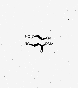 COC(=O)C=CC#N.N#CC=CC(=O)O